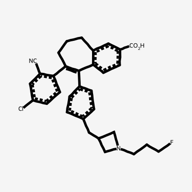 N#Cc1cc(Cl)ccc1C1=C(c2ccc(CC3CN(CCCF)C3)cc2)c2ccc(C(=O)O)cc2CCC1